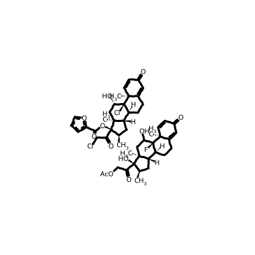 CC(=O)OCC(=O)[C@@]1(O)[C@H](C)C[C@H]2[C@@H]3CCC4=CC(=O)C=C[C@]4(C)[C@@]3(F)C(O)C[C@@]21C.C[C@@H]1C[C@H]2[C@@H]3CCC4=CC(=O)C=C[C@]4(C)[C@@]3(Cl)[C@@H](O)C[C@]2(C)[C@@]1(OC(=O)c1ccco1)C(=O)CCl